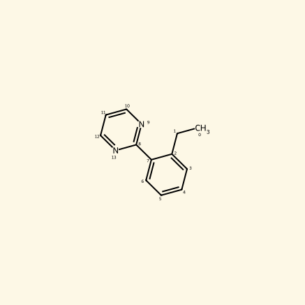 CCc1ccccc1-c1ncccn1